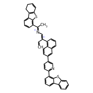 C=C/C(=C\N=C(/C)c1cccc2c3c(sc12)C=CCC3)c1cccc2cc(-c3ccc(-c4cccc5c4sc4ccccc45)nc3)ccc12